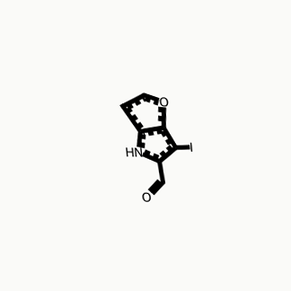 O=Cc1[nH]c2ccoc2c1I